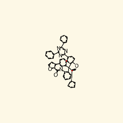 O=c1c2occc2c2cccc3c2n1-c1ccccc1C31c2cc(-c3ccccc3)ccc2Oc2ccc(-c3nc(-c4ccccc4)nc(-c4ccccc4)n3)cc21